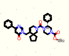 CC(C)(C)OC(=O)N1CCN(C(=O)N2CC=C(Cn3cnc(-c4ccccc4)cc3=O)C3(CCCC3)C2)[C@H](c2ccccc2)C1